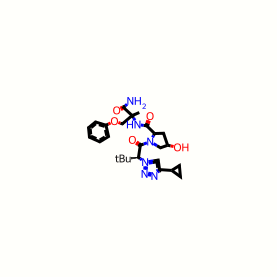 CC(COc1ccccc1)(NC(=O)C1CC(O)CN1C(=O)[C@@H](n1cc(C2CC2)nn1)C(C)(C)C)C(N)=O